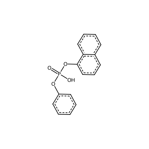 O=P(O)(Oc1ccccc1)Oc1cccc2ccccc12